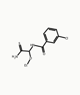 CCOC(NC(=O)c1cccc(Cl)c1)C(N)=S